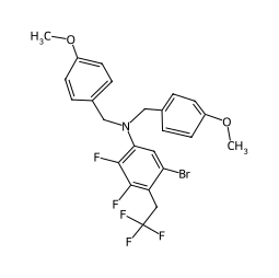 COc1ccc(CN(Cc2ccc(OC)cc2)c2cc(Br)c(CC(F)(F)F)c(F)c2F)cc1